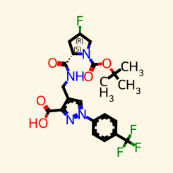 CC(C)(C)OC(=O)N1C[C@H](F)C[C@H]1C(=O)NCc1cn(-c2ccc(C(F)(F)F)cc2)nc1C(=O)O